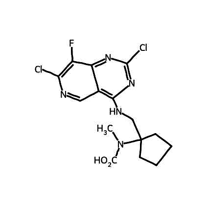 CN(C(=O)O)C1(CNc2nc(Cl)nc3c(F)c(Cl)ncc23)CCCC1